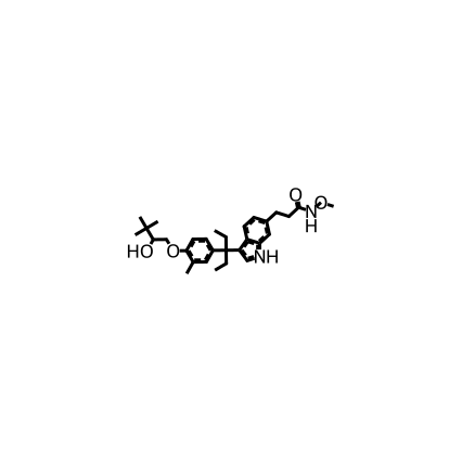 CCC(CC)(c1ccc(OCC(O)C(C)(C)C)c(C)c1)c1c[nH]c2cc(CCC(=O)NOC)ccc12